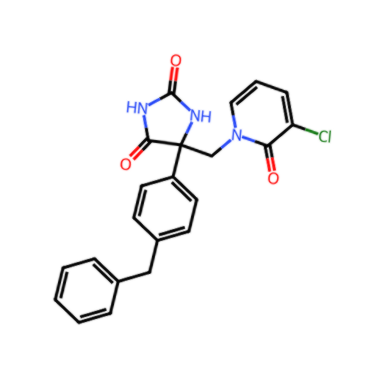 O=C1NC(=O)C(Cn2cccc(Cl)c2=O)(c2ccc(Cc3ccccc3)cc2)N1